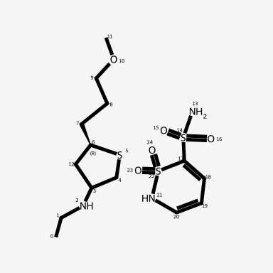 CCNC1CS[C@H](CCCOC)C1.NS(=O)(=O)C1=CC=CNS1(=O)=O